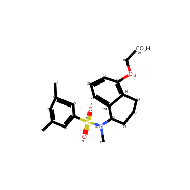 Cc1cc(C)cc(S(=O)(=O)N(C)C2CCCc3c(OCC(=O)O)cccc32)c1